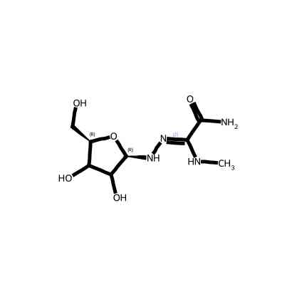 CN/C(=N\N[C@@H]1O[C@H](CO)C(O)C1O)C(N)=O